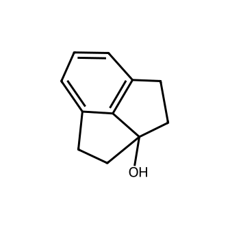 OC12CCc3cccc(c31)CC2